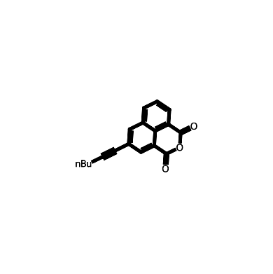 CCCCC#Cc1cc2c3c(cccc3c1)C(=O)OC2=O